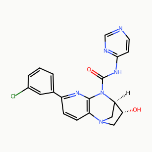 O=C(Nc1ccncn1)N1c2nc(-c3cccc(Cl)c3)ccc2N2C[C@@H](O)[C@H]1C2